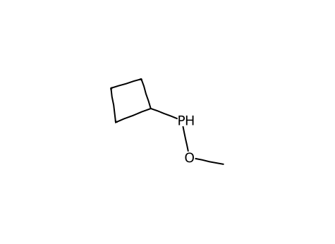 COPC1CCC1